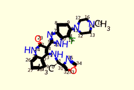 C[C@H](Nc1c(-c2nc3ccc(N4CCN(C)CC4)c(F)c3[nH]2)c(=O)[nH]c2ccccc12)c1cocn1